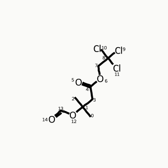 CC(C)(CC(=O)OCC(Cl)(Cl)Cl)O[C]=O